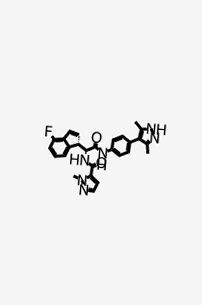 Cc1n[nH]c(C)c1-c1ccc(NC(=O)[C@H](NC(=O)c2ccnn2C)[C@H]2C=Cc3c(F)cccc32)cc1